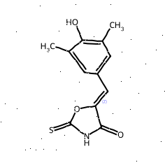 Cc1cc(/C=C2\OC(=S)NC2=O)cc(C)c1O